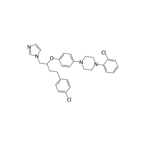 Clc1ccc(CCC(Cn2ccnc2)Oc2ccc(N3CCN(c4ccccc4Cl)CC3)cc2)cc1